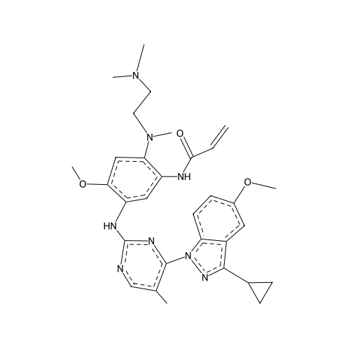 C=CC(=O)Nc1cc(Nc2ncc(C)c(-n3nc(C4CC4)c4cc(OC)ccc43)n2)c(OC)cc1N(C)CCN(C)C